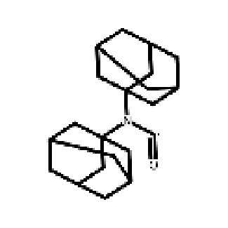 O=[C]N(C12CC3CC(CC(C3)C1)C2)C12CC3CC(CC(C3)C1)C2